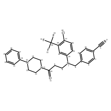 N#Cc1ccc(CN(CCC(=O)N2CCN(c3ccccc3)CC2)c2ccc(Cl)c(C(F)(F)F)c2)cc1